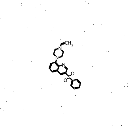 C=CN1CCN(c2cccc3cc(S(=O)(=O)c4ccccc4)cnc23)CC1